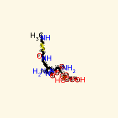 CNCCSSCCC(=O)NCC#Cc1cn([C@H]2CC(ON)[C@@H](COP(=O)(O)OCOCO)O2)c(=O)nc1N